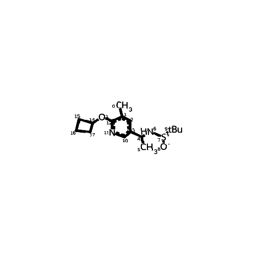 Cc1cc(C(C)N[S+]([O-])C(C)(C)C)cnc1OC1CCC1